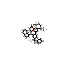 Cc1cc2c(cc1-c1cc3c(cc1N(c1ccccc1)c1cccc4ccccc14)C(C)(C)c1ccccc1-3)C(C)(C)CCC2(C)C